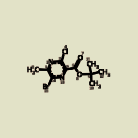 Cc1nc(Cl)c(C(=O)OC(C)(C)C)nc1Br